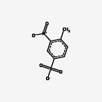 Cc1ccc(S([O])(=O)=O)cc1[N+](=O)[O-]